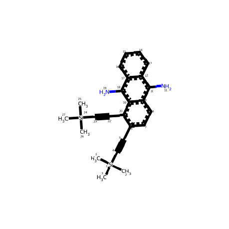 C[Si](C)(C)C#Cc1ccc2c(N)c3ccccc3c(N)c2c1C#C[Si](C)(C)C